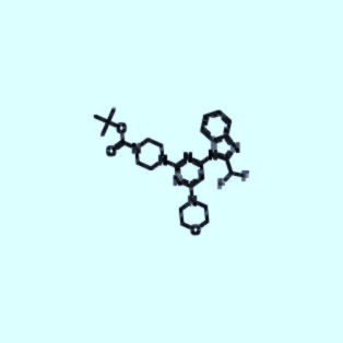 CC(C)(C)OC(=O)N1CCN(c2nc(N3CCOCC3)cc(-n3c(C(F)F)nc4ccccc43)n2)CC1